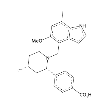 COc1cc(C)c2[nH]ccc2c1CN1CC[C@@H](C)C[C@H]1c1ccc(C(=O)O)cc1